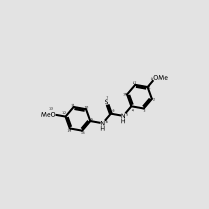 COc1ccc(NC(=S)Nc2ccc(OC)cc2)cc1